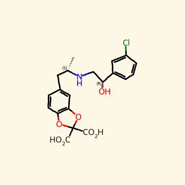 C[C@@H](Cc1ccc2c(c1)OC(C(=O)O)(C(=O)O)O2)NC[C@H](O)c1cccc(Cl)c1